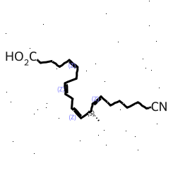 C[C@H](/C=C\C/C=C\C/C=C\CCCC(=O)O)/C=C\CCCCCC#N